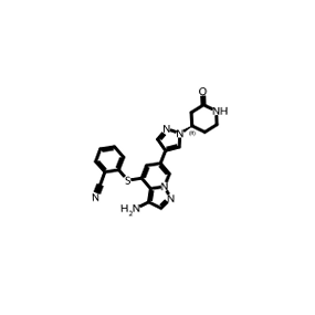 N#Cc1ccccc1Sc1cc(-c2cnn([C@@H]3CCNC(=O)C3)c2)cn2ncc(N)c12